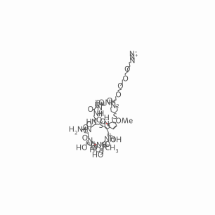 CC[C@H](C)[C@H](NC(=O)CN)C(=O)NCC(=O)NC1C[S+]([O-])c2[nH]c3c(CSC4CCN(C(=O)CCOCCOCCOCCOCCN=[N+]=[N-])CC4)c(OC)ccc3c2C[C@@H](CO)NC(=O)[C@H]([C@@H](C)[C@@H](O)CO)NC(=O)[C@@H]2C[C@@H](O)CN2C(=O)C(CC(N)=O)NC1=O